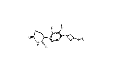 COc1c(N2CC(N)C2)ccc(C2CCC(=O)NC2=O)c1F